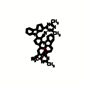 Cc1nc(C)nc(-c2ccc3c4ccccc4n(-c4ccc(-c5cccc(C#N)c5)c(-n5c6ccccc6c6ccc(-c7nc(C)nc(C)n7)cc65)c4C#N)c3c2)n1